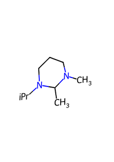 CC(C)N1CCCN(C)C1C